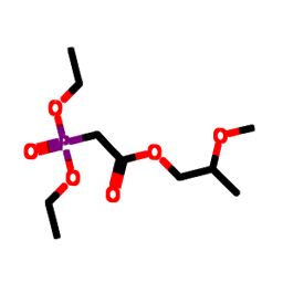 CCOP(=O)(CC(=O)OCC(C)OC)OCC